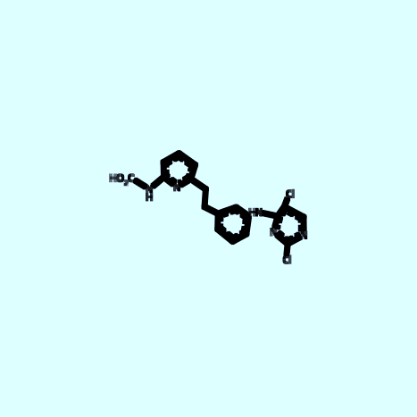 O=C(O)Nc1cccc(CCc2cccc(Nc3nc(Cl)ncc3Cl)c2)n1